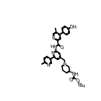 Cc1ccc(-c2cc(CN3CCC[C@H](NC(=O)OC(C)(C)C)C3)cc(NC(=O)c3cc(-c4ccc(O)cc4)c(C)cn3)n2)cn1